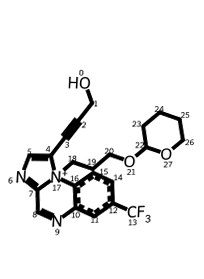 OCC#CC1=CN=C2C=Nc3cc(C(F)(F)F)ccc3[N+]12CCCOC1CCCCO1